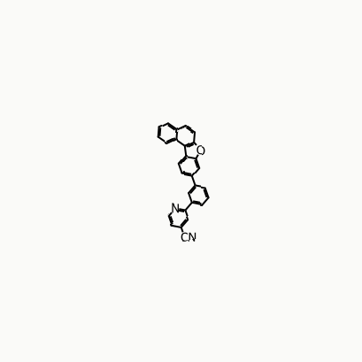 N#Cc1ccnc(-c2cccc(-c3ccc4c(c3)oc3ccc5ccccc5c34)c2)c1